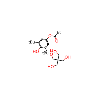 CCC(=O)Oc1cc(C(C)(C)C)c(O)c(C(C)(C)C)c1.OCC(CO)(CO)CO